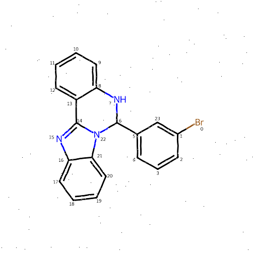 Brc1cccc(C2Nc3ccccc3-c3nc4ccccc4n32)c1